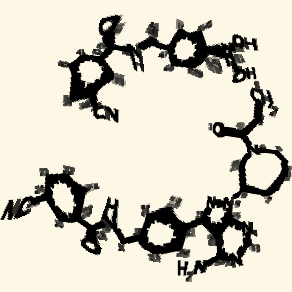 C=CC(=O)N1CCC[C@@H](n2nc(-c3ccc(CNC(=O)c4cccc(C#N)c4)cc3)c3c(N)ncnc32)C1.N#Cc1cccc(C(=O)NCc2ccc(B(O)O)cc2)c1